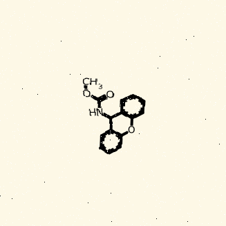 COC(=O)NC1c2ccccc2Oc2ccccc21